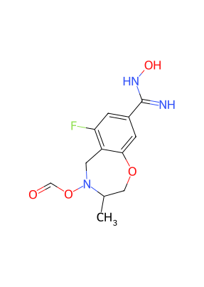 CC1COc2cc(C(=N)NO)cc(F)c2CN1OC=O